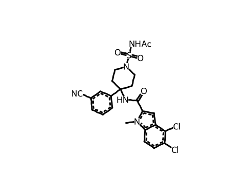 CC(=O)NS(=O)(=O)N1CCC(NC(=O)c2cc3c(Cl)c(Cl)ccc3n2C)(c2cccc(C#N)c2)CC1